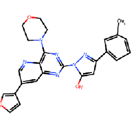 Cc1cccc(-c2cc(O)n(-c3nc(N4CCOCC4)c4ncc(-c5ccoc5)cc4n3)n2)c1